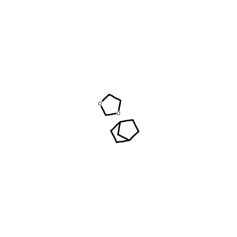 C1CC2CCC1C2.C1COCO1